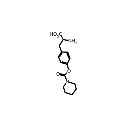 N[C@@H](Cc1ccc(OC(=O)N2CCCCC2)cc1)C(=O)O